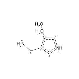 NCc1c[nH]cn1.O.O